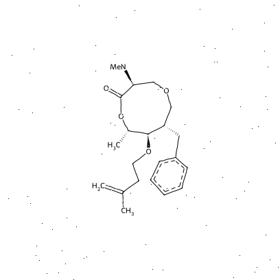 C=C(C)CCO[C@@H]1[C@@H](Cc2ccccc2)COC[C@H](NC)C(=O)O[C@H]1C